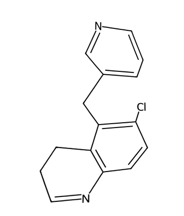 Clc1ccc2c(c1Cc1cccnc1)CCC=N2